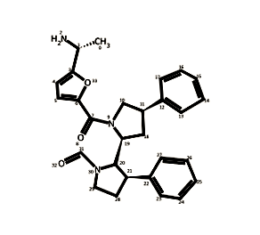 C[C@@H](N)c1ccc(C(=O)N2C[C@@H](c3ccccc3)C[C@H]2C2[C@@H](c3ccccc3)CCN2C=O)o1